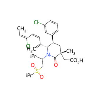 C=C(/C=C\C(Cl)=C/C)[C@@H]1[C@@H](c2cccc(Cl)c2)C[C@](C)(CC(=O)O)C(=O)N1C(CS(=O)(=O)C(C)C)C(C)C